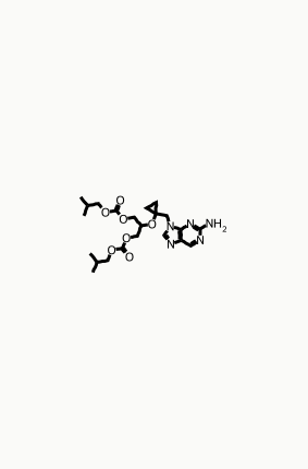 CC(C)COC(=O)OCC(COC(=O)OCC(C)C)OC1(Cn2cnc3cnc(N)nc32)CC1